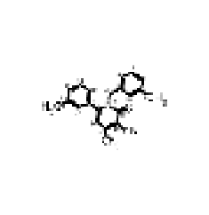 Cc1cccc(Cn2c(-c3cccc(C)c3)cc(C(F)(F)F)c(C#N)c2=O)c1